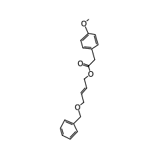 COc1ccc(CC(=O)OCC=CCOCc2ccccc2)cc1